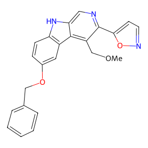 COCc1c(-c2ccno2)ncc2[nH]c3ccc(OCc4ccccc4)cc3c12